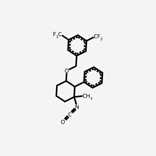 CC1(N=C=O)CCCC(OCc2cc(C(F)(F)F)cc(C(F)(F)F)c2)C1c1ccccc1